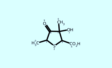 CC1SC(C(=O)O)C(C)(O)C1=O